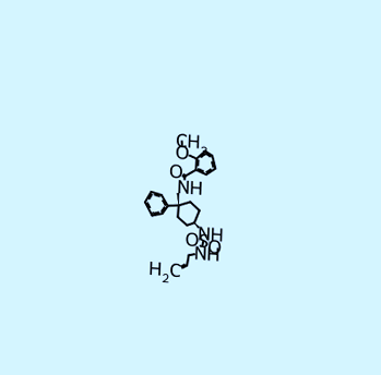 C=CCNS(=O)(=O)N[C@H]1CC[C@](CNC(=O)c2ccccc2OC)(c2ccccc2)CC1